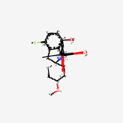 CO[C@H]1CC[C@]2(CC1)Cc1c(F)ccc(Br)c1C21NC(=O)NC1=O